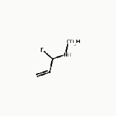 C=CC(F)NC(=O)O